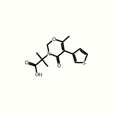 CC1=C(c2ccsc2)C(=O)N(C(C)(C)C(=O)O)CO1